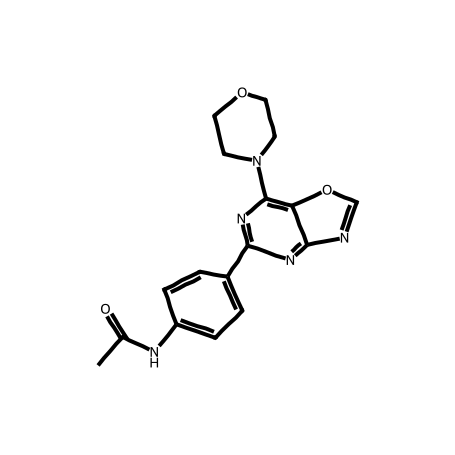 CC(=O)Nc1ccc(-c2nc(N3CCOCC3)c3ocnc3n2)cc1